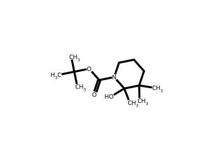 CC(C)(C)OC(=O)N1CCCC(C)(C)C1(C)O